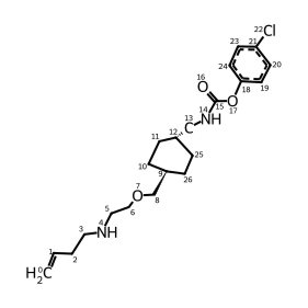 C=CCCNCCOC[C@H]1CC[C@H](CNC(=O)Oc2ccc(Cl)cc2)CC1